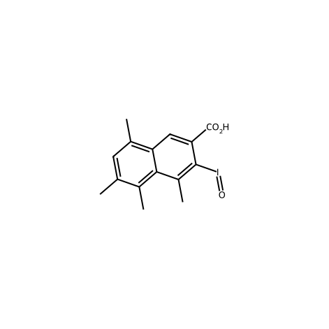 Cc1cc(C)c2cc(C(=O)O)c(I=O)c(C)c2c1C